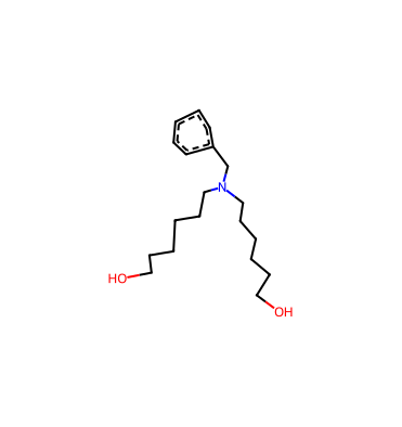 OCCCCCCN(CCCCCCO)Cc1ccccc1